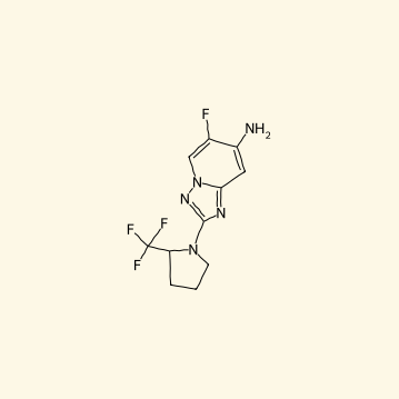 Nc1cc2nc(N3CCCC3C(F)(F)F)nn2cc1F